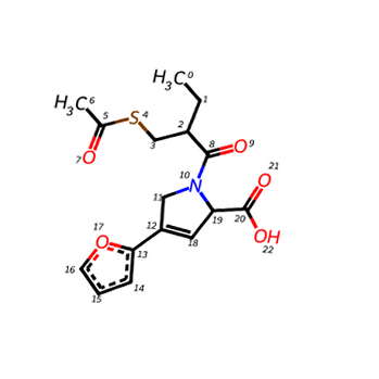 CCC(CSC(C)=O)C(=O)N1CC(c2ccco2)=CC1C(=O)O